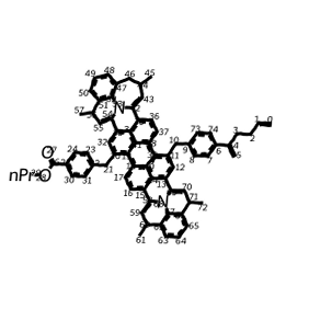 C=CCCC(=C)c1ccc(Cc2cc3c4c(ccc5c6c(Cc7ccc(C(=O)OCCC)cc7)cc7c8c(ccc(c2c45)c86)C2=CC(C)Cc4cccc5c4N2C7=CC5C)C2=CC(C)c4cccc5c4N2C3=CC5C)cc1